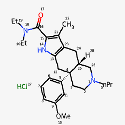 CCCN1CC[C@@]2(c3cccc(OC)c3)Cc3[nH]c(C(=O)N(CC)CC)c(C)c3C[C@@H]2C1.Cl